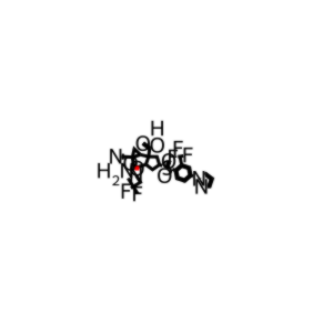 N#CC1(C(N)=O)CC1C1(C(=O)O)CC(S(=O)(=O)c2ccc(-n3cccn3)cc2C(F)(F)F)CC1C(=O)N1CC(F)(F)C1